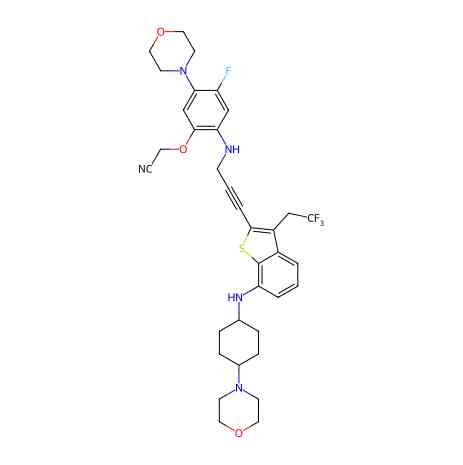 N#CCOc1cc(N2CCOCC2)c(F)cc1NCC#Cc1sc2c(NC3CCC(N4CCOCC4)CC3)cccc2c1CC(F)(F)F